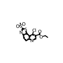 CCOC(=O)c1cnc2ccc3nc(S(C)(=O)=O)sc3c2c1Cl